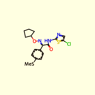 CSc1ccc(/C(=N\OC2CCCC2)C(=O)Nc2ncc(Cl)s2)cc1